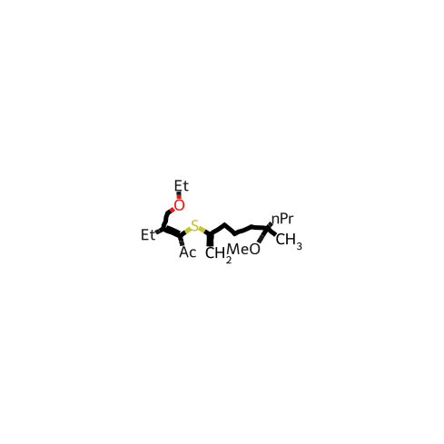 C=C(CCCC(C)(CCC)OC)S/C(C(C)=O)=C(/CC)COCC